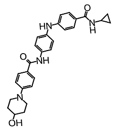 O=C(Nc1ccc(Nc2ccc(C(=O)NC3CC3)cc2)cc1)c1ccc(N2CCC(O)CC2)cc1